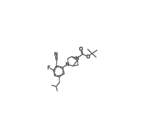 CC(C)Cc1cc(F)c(C#N)c(N2CC3CC2CN3C(=O)OC(C)(C)C)c1